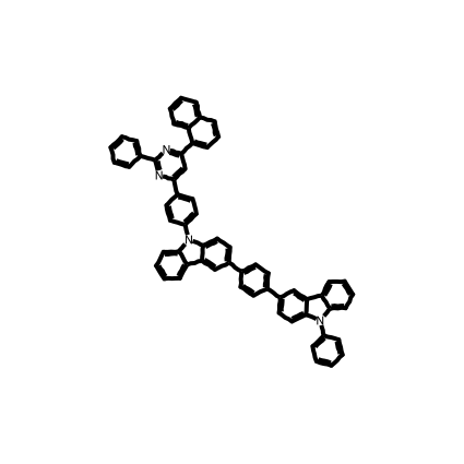 c1ccc(-c2nc(-c3ccc(-n4c5ccccc5c5cc(-c6ccc(-c7ccc8c(c7)c7ccccc7n8-c7ccccc7)cc6)ccc54)cc3)cc(-c3cccc4ccccc34)n2)cc1